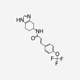 O=C(C=Cc1ccc(OC(F)(F)F)cc1)NC1CCc2[nH]cnc2C1